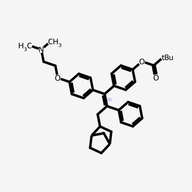 CN(C)CCOc1ccc(/C(=C(\CC2CC3CCC2C3)c2ccccc2)c2ccc(OC(=O)C(C)(C)C)cc2)cc1